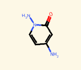 Nc1ccn(N)c(=O)c1